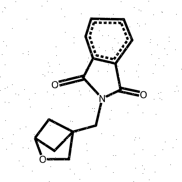 O=C1c2ccccc2C(=O)N1CC12COC(C1)C2